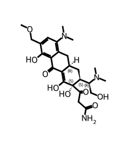 COCc1cc(N(C)C)c2c(c1O)C(=O)C1=C(O)[C@](O)(C(=O)CC(N)=O)[C@H]([C@H](CO)N(C)C)C[C@@H]1C2